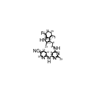 CC1=c2c(CCNc3cc(Nc4ccc(C#N)cn4)nc(C)n3)c(C)[nH]c2=C(F)CC1